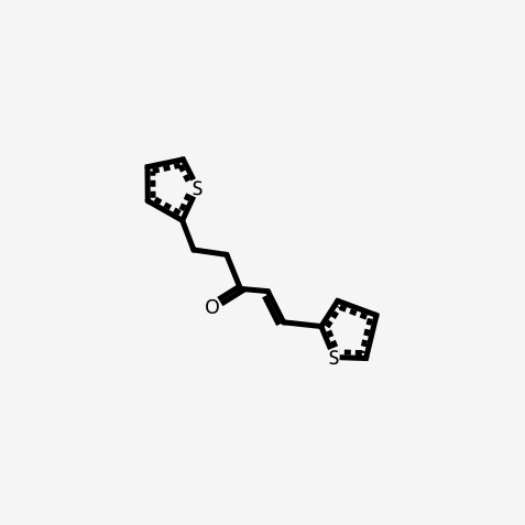 O=C(/C=C/c1cccs1)CCc1cccs1